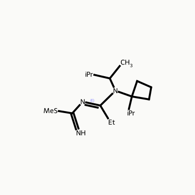 CC/C(=N\C(=N)SC)N(C(C)C(C)C)C1(C(C)C)CCC1